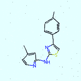 Cc1ccc(-c2csc(Nc3cc(C)ccn3)n2)cc1